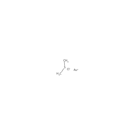 CSC.[Au+].[Cl-]